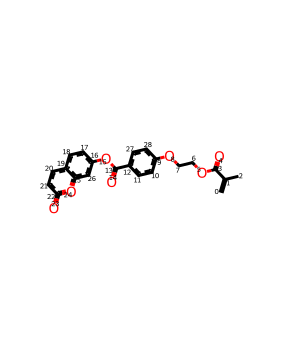 C=C(C)C(=O)OCCOc1ccc(C(=O)Oc2ccc3ccc(=O)oc3c2)cc1